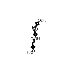 O=C(CCC1CC(OC(F)(F)F)C1)NC12CC(c3nnc(C4CC(OC(F)(F)F)C4)o3)(C1)C2